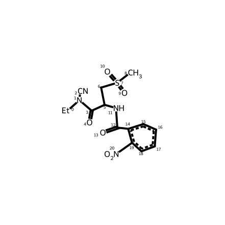 CCN(C#N)C(=O)C(CS(C)(=O)=O)NC(=O)c1ccccc1[N+](=O)[O-]